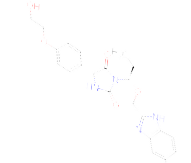 CC[C@@H](OCc1nc2cc(I)ccc2[nH]1)N1C(=O)N[C@H](c2ccc(OCCO)cc2)C1=O